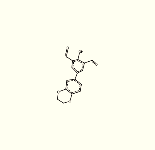 O=Cc1cc(-c2ccc3c(c2)OCCO3)cc(N=O)c1O